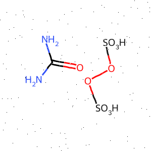 NC(N)=O.O=S(=O)(O)OOS(=O)(=O)O